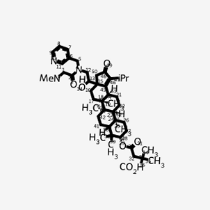 CNCC(=O)N(Cc1cccnc1)CC(O)C12CC[C@]3(C)[C@H](CC[C@@H]4[C@@]5(C)CC[C@H](OC(=O)CC(C)(C)C(=O)O)C(C)(C)[C@@H]5CC[C@]43C)C1=C(C(C)C)C(=O)C2